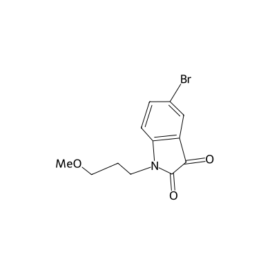 COCCCN1C(=O)C(=O)c2cc(Br)ccc21